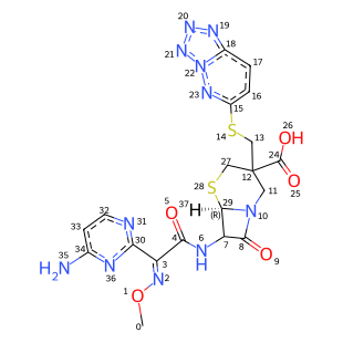 CON=C(C(=O)NC1C(=O)N2CC(CSc3ccc4nnnn4n3)(C(=O)O)CS[C@H]12)c1nccc(N)n1